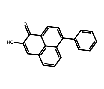 O=C1C(O)=Cc2cccc3c(-c4ccccc4)ccc1c23